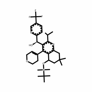 CC(C)c1nc2c(c(C3=CCOCC3)c1[C@@H](O)c1ccc(C(F)(F)F)cn1)C(O[Si](C)(C)C(C)(C)C)CC(C)(C)C2